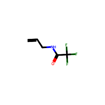 C=C[CH]NC(=O)C(F)(F)F